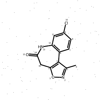 Cc1noc2c1-c1ccc(Cl)cc1NC(=O)C2